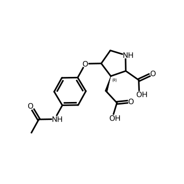 CC(=O)Nc1ccc(OC2CNC(C(=O)O)[C@H]2CC(=O)O)cc1